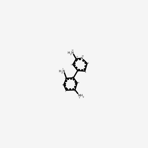 Nc1ccc(N)c(-c2ccnc(N)c2)c1